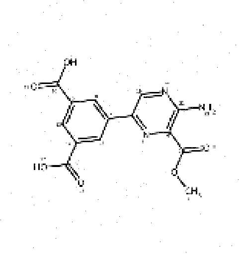 COC(=O)c1nc(-c2cc(C(=O)O)cc(C(=O)O)c2)cnc1N